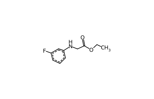 CCOC(=O)CNc1cccc(F)c1